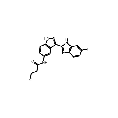 O=C(CCCl)Nc1ccc2[nH]nc(-c3nc4ccc(F)cc4[nH]3)c2c1